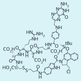 CC(C)(C)[Si](C)(C)Oc1cc2c(c3ccccc13)C(CCl)CN2C(=O)c1cc2cc(NC(=O)CCSSC[C@H](NC(=O)[C@H](CC(=O)O)NC(=O)[C@H](CCCNC(=N)N)NC(=O)[C@H](CC(=O)O)NC(=O)CC[C@H](NC(=O)c3ccc(NCc4cnc5nc(N)[nH]c(=O)c5n4)cc3)C(=O)O)C(=O)O)ccc2[nH]1